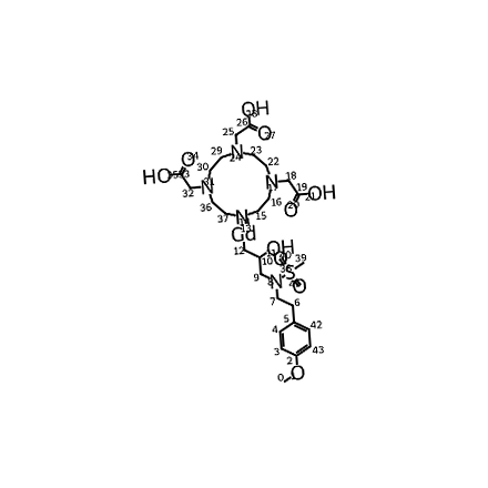 COc1ccc(CCN(CC(O)[CH2][Gd][N]2CCN(CC(=O)O)CCN(CC(=O)O)CCN(CC(=O)O)CC2)S(C)(=O)=O)cc1